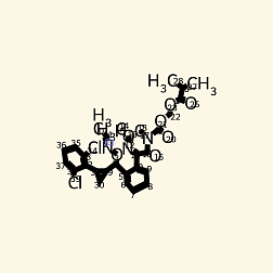 C/C=N/OC(c1ccccc1C(=NOC)C(=O)N(C)C(=O)OCOC(=O)C(C)C)C1CC1c1c(Cl)cccc1Cl